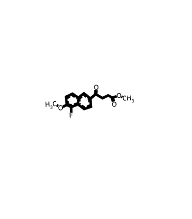 COC(=O)CCC(=O)c1ccc2c(F)c(OC)ccc2c1